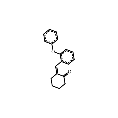 O=C1CCCCC1=Cc1ccccc1Oc1ccccc1